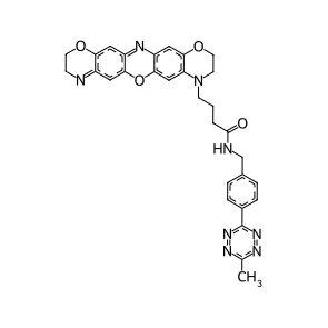 Cc1nnc(-c2ccc(CNC(=O)CCCN3CCOc4cc5c(cc43)Oc3cc4c(cc3=N5)OCCN=4)cc2)nn1